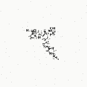 CN=S1(=O)C[C@@](C)(c2cc(-c3cc(-c4cnc(OC)cn4)no3)ccc2F)N=CC12CCCC2N.O=C(O)C(F)(F)F